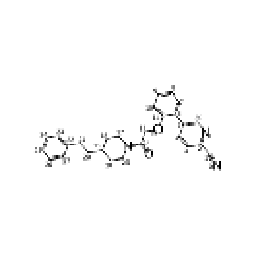 N#Cc1ccc(-c2ccccc2OCC(=O)N2CCC(CCc3ccccc3)CC2)cn1